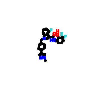 Cn1cc(-c2ccc(Cn3cc(C(=O)N[C@@H]4CCCC(F)(F)[C@H]4O)c4c(F)cccc43)cc2)cn1